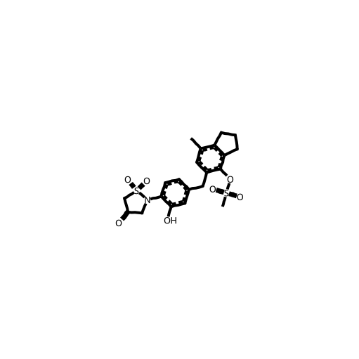 Cc1cc(Cc2ccc(N3CC(=O)CS3(=O)=O)c(O)c2)c(OS(C)(=O)=O)c2c1CCC2